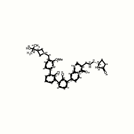 COc1nc(-c2cccc(-c3cccc(-c4ccn5c(=O)c(CNC[C@@H]6CCC(=O)N6)cnc5c4)c3Cl)c2Cl)ccc1CN1CC(C(C)(C)O)C1